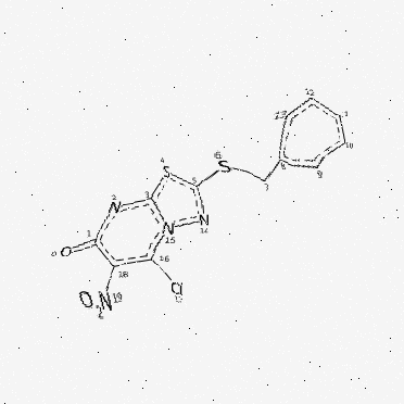 O=c1nc2sc(SCc3ccccc3)nn2c(Cl)c1[N+](=O)[O-]